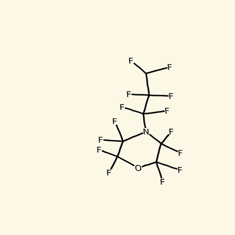 FC(F)C(F)(F)C(F)(F)N1C(F)(F)C(F)(F)OC(F)(F)C1(F)F